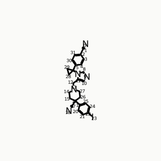 N#Cc1ccc(C2(n3cncc3CN3CCC(C#N)(c4ccc(I)cc4)CC3)CC2)cc1